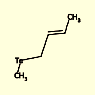 CC=CC[Te]C